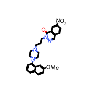 COc1ccc2cccc(N3CCN(CCCn4ncc5ccc([N+](=O)[O-])cc5c4=O)CC3)c2c1